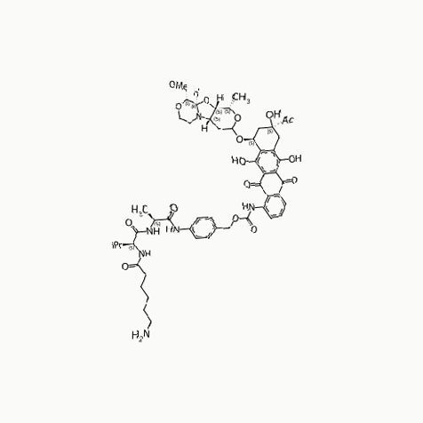 CO[C@H]1OCCN2[C@@H]1O[C@@H]1[C@H](C)OC(O[C@H]3C[C@](O)(C(C)=O)Cc4c(O)c5c(c(O)c43)C(=O)c3c(NC(=O)OCc4ccc(NC(=O)[C@H](C)NC(=O)[C@@H](NC(=O)CCCCCN)C(C)C)cc4)cccc3C5=O)C[C@@H]12